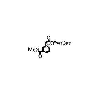 CCCCCCCCCCCCOC(=O)C[n+]1cccc(C(=O)NC)c1